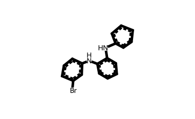 Brc1cccc(Nc2ccccc2Nc2ccccc2)c1